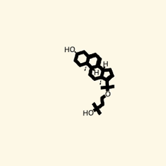 CC(C)(O)CCOC(C)(C)C1=CC[C@H]2C3=CC=C4C[C@@H](O)CC[C@]4(C)[C@H]3CC[C@]12C